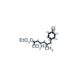 CCOC(=O)C(CCCC(C)Cc1ccc(Cl)cc1)C(=O)O